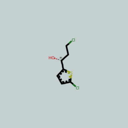 O[C@H](CCCl)c1ccc(Cl)s1